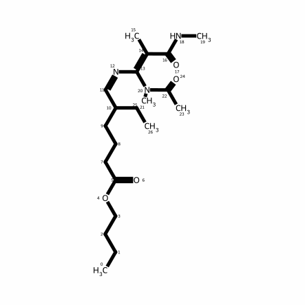 CCCCOC(=O)CCCC(/C=N\C(=C(/C)C(=O)NC)N(C)C(C)=O)CC